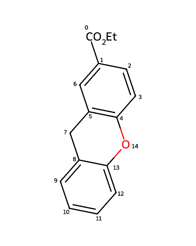 CCOC(=O)c1ccc2c(c1)Cc1ccccc1O2